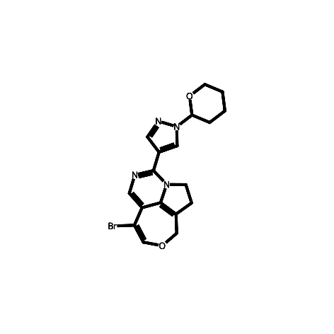 BrC1=COCC2=C3C1=CN=C(c1cnn(C4CCCCO4)c1)N3CC2